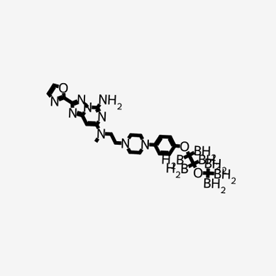 BC(B)(B)OC(B)(B)C(B)(B)Oc1ccc(N2CCN(CCN(C)c3cc4nc(-c5ncco5)nn4c(N)n3)CC2)cc1